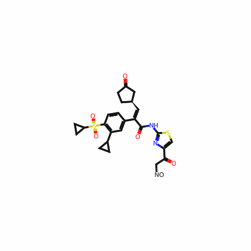 O=NCC(=O)c1csc(NC(=O)/C(=C/[C@H]2CCC(=O)C2)c2ccc(S(=O)(=O)C3CC3)c(C3CC3)c2)n1